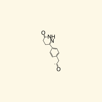 O=[C]Cc1ccc(C2=NNC(=O)CC2)cc1